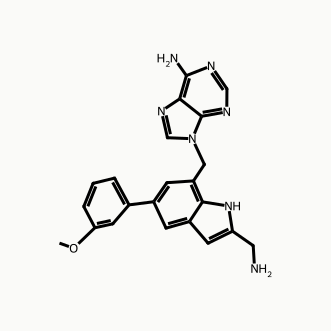 COc1cccc(-c2cc(Cn3cnc4c(N)ncnc43)c3[nH]c(CN)cc3c2)c1